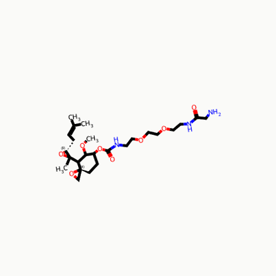 COC1C(OC(=O)NCCOCCOCCNC(=O)CN)CC[C@]2(CO2)C1C1(C)O[C@@H]1CC=C(C)C